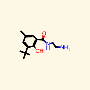 Cc1cc(C(=O)NCCN)c(O)c(C(C)(C)C)c1